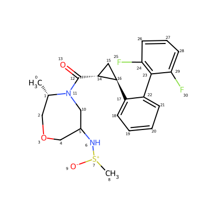 C[C@H]1COCC(N[S+](C)[O-])CN1C(=O)[C@@H]1C[C@H]1c1ccccc1-c1c(F)cccc1F